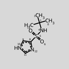 CC(C)(C)NS(=O)(=O)c1c[nH]cn1